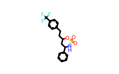 O=S1(=O)NC(c2ccccc2)CC(CCc2ccc(C(F)(F)F)cc2)O1